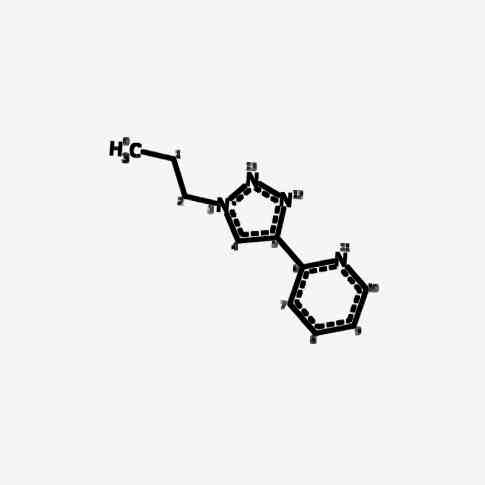 CCCn1cc(-c2ccccn2)nn1